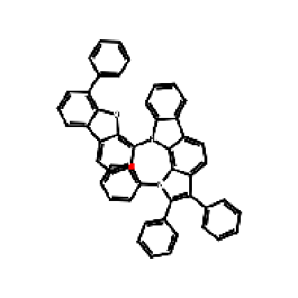 c1ccc(-c2c(-c3ccccc3)n(-c3ccccc3)c3c2ccc2c4ccccc4n(-c4cccc5c4oc4c(-c6ccccc6)cccc45)c23)cc1